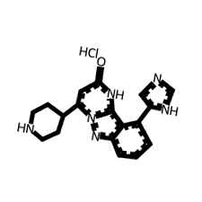 Cl.O=c1cc(C2CCNCC2)n2nc3cccc(-c4cnc[nH]4)c3c2[nH]1